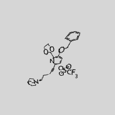 C(#Cc1ccc(OCc2ccccc2)c(C2OCCO2)n1)CCC[N+]12CCC(CC1)CC2.O=S(=O)([O-])C(F)(F)F